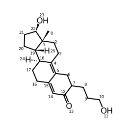 C[C@@]12CCC3=C4CC(CCCO)C(=O)C=C4CC[C@H]3[C@@H]1CC[C@H]2O